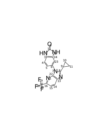 O=c1[nH]c2ccc(-n3c(C4CC4)nc4ccc(C(F)(F)F)nc43)cc2[nH]1